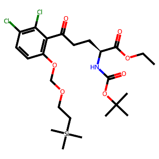 CCOC(=O)[C@H](CCC(=O)c1c(OCOCC[Si](C)(C)C)ccc(Cl)c1Cl)NC(=O)OC(C)(C)C